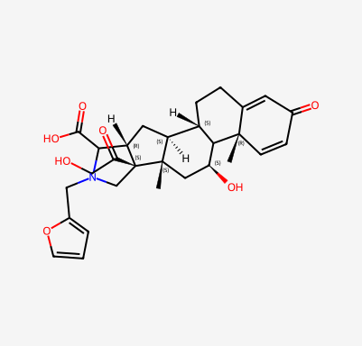 C[C@]12C=CC(=O)C=C1CC[C@@H]1C2[C@@H](O)C[C@@]2(C)[C@H]1C[C@H]1C(C(=O)O)N(Cc3ccco3)C[C@]12C(=O)CO